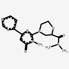 CN(C)C(=O)C1CN(c2nc(-c3ccncn3)cc(=O)n2C)CCO1